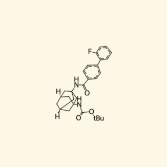 CC(C)(C)OC(=O)NC12C[C@H]3C[C@@H](C1)CC(NC(=O)c1ccc(-c4ccccc4F)cc1)(C3)C2